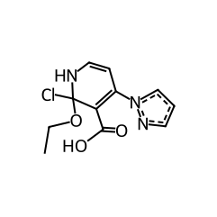 CCOC1(Cl)NC=CC(n2cccn2)=C1C(=O)O